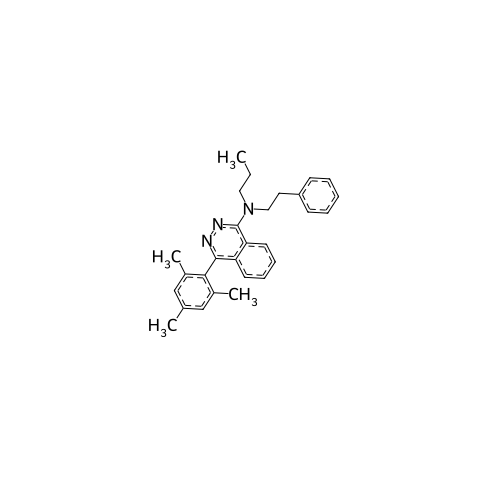 CCCN(CCc1ccccc1)c1nnc(-c2c(C)cc(C)cc2C)c2ccccc12